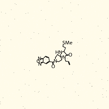 C=CCN1C(=O)C(CCSC)NC12CCN(C(=O)c1ccc3nonc3c1)CC2